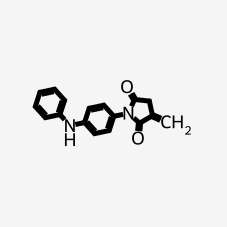 C=C1CC(=O)N(c2ccc(Nc3ccccc3)cc2)C1=O